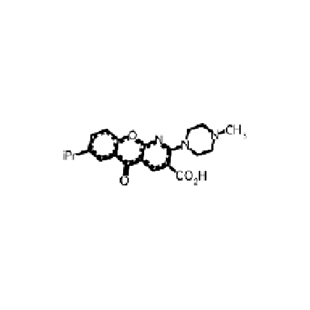 CC(C)c1ccc2oc3nc(N4CCN(C)CC4)c(C(=O)O)cc3c(=O)c2c1